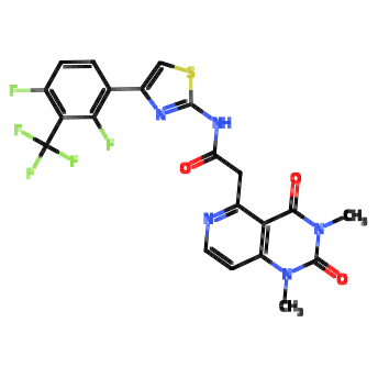 Cn1c(=O)c2c(CC(=O)Nc3nc(-c4ccc(F)c(C(F)(F)F)c4F)cs3)nccc2n(C)c1=O